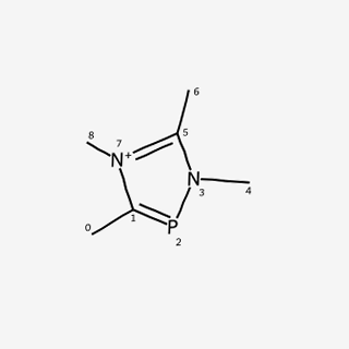 Cc1pn(C)c(C)[n+]1C